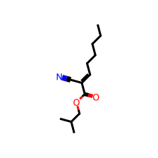 CCCCC/C=C(\C#N)C(=O)OCC(C)C